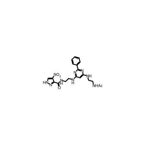 CC(=O)NCCNc1cc(NCCNC(=O)c2n[nH]cc2[N+](=O)[O-])nc(-c2ccccc2)n1